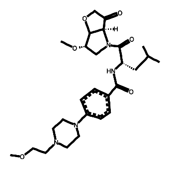 COCCN1CCN(c2ccc(C(=O)N[C@@H](CC(C)C)C(=O)N3C[C@H](OC)C4OCC(=O)[C@H]43)cc2)CC1